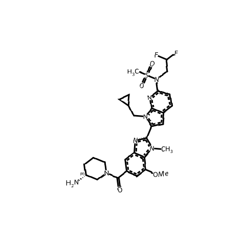 COc1cc(C(=O)N2CCC[C@@H](N)C2)cc2nc(-c3cc4ccc(N(CC(F)F)S(C)(=O)=O)nc4n3CC3CC3)n(C)c12